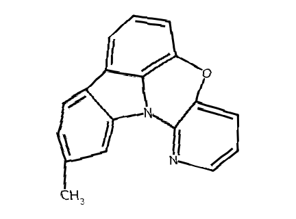 Cc1ccc2c3cccc4c3n(c2c1)-c1ncccc1O4